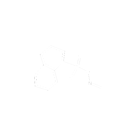 C=NOS(=O)(=O)c1cccc2ccccc12